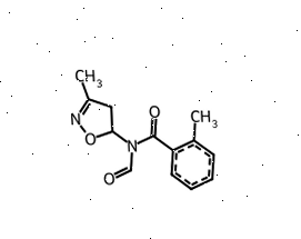 CC1=NOC(N(C=O)C(=O)c2ccccc2C)C1